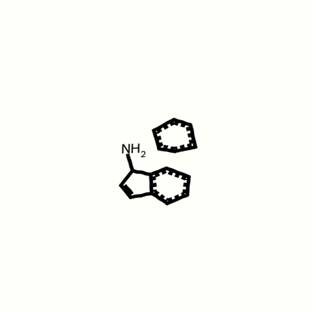 NC1C=Cc2ccccc21.c1ccccc1